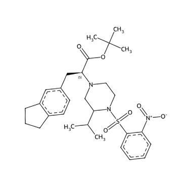 CC(C)C1CN([C@@H](Cc2ccc3c(c2)CCC3)C(=O)OC(C)(C)C)CCN1S(=O)(=O)c1ccccc1[N+](=O)[O-]